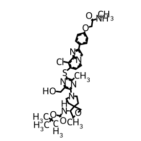 CNC(=O)COc1ccc(-c2cn3ccc(Sc4nc(CO)c(N5CCC6(CC5)CO[C@@H](C)[C@H]6NC(=O)OC(C)(C)C)nc4C)c(Cl)c3n2)cc1